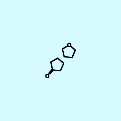 C1CCOC1.O=C1CCCC1